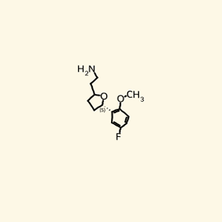 COc1ccc(F)cc1[C@@H]1CCC(CCN)O1